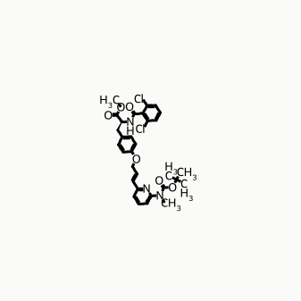 COC(=O)[C@H](Cc1ccc(OCC=Cc2cccc(N(C)C(=O)OC(C)(C)C)n2)cc1)NC(=O)c1c(Cl)cccc1Cl